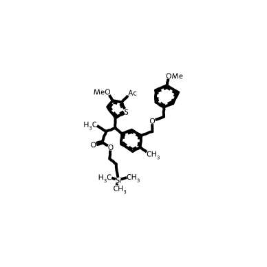 COc1ccc(COCc2cc(C(c3cc(OC)c(C(C)=O)s3)C(C)C(=O)OCC[Si](C)(C)C)ccc2C)cc1